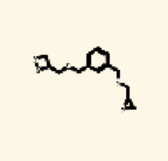 c1cc(CSCC2CS2)cc(CSCC2CSS2)c1